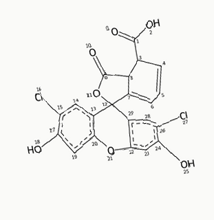 O=C(O)C1C=CC=C2C1C(=O)OC21c2cc(Cl)c(O)cc2Oc2cc(O)c(Cl)cc21